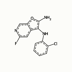 Nc1oc2cnc(F)cc2c1Nc1ccccc1Cl